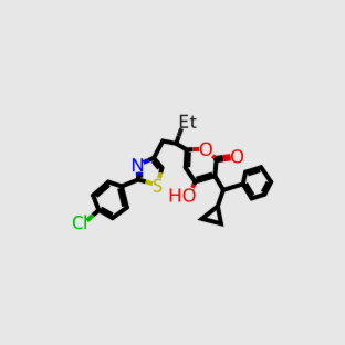 CCC(Cc1csc(-c2ccc(Cl)cc2)n1)c1cc(O)c(C(c2ccccc2)C2CC2)c(=O)o1